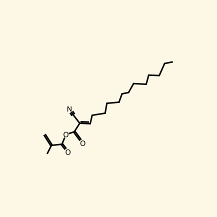 C=C(C)C(=O)OC(=O)C(C#N)=CCCCCCCCCCCCC